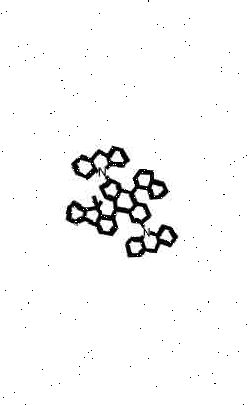 CC1(C)c2ccccc2-c2cccc(-c3c4cc(N5c6ccccc6Cc6ccccc65)ccc4c(-c4cccc5ccccc45)c4cc(N5c6ccccc6Cc6ccccc65)ccc34)c21